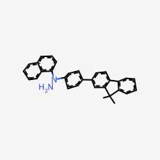 CC1(C)c2ccccc2-c2ccc(-c3ccc(N(N)c4cccc5ccccc45)cc3)cc21